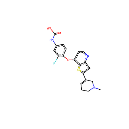 CN1CCC=C(c2cc3nccc(Oc4ccc(NC(=O)O)cc4F)c3s2)C1